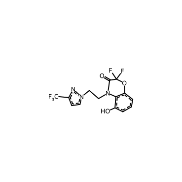 O=C1N(CCn2ccc(C(F)(F)F)n2)c2c(O)cccc2OC1(F)F